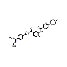 CN/C(=C\C=N)c1ccc(C2CN(C(=O)c3ccc(C)c(NC(=O)c4ccc(N5CCN(C)CC5)nc4)c3)C2)cc1